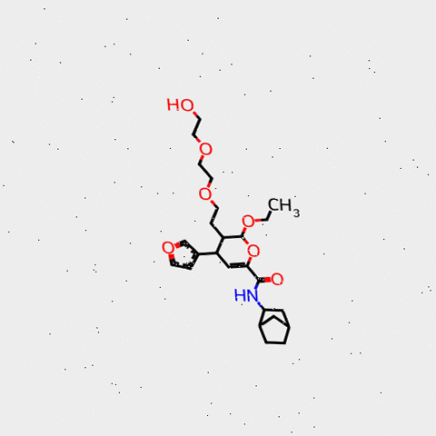 CCOC1OC(C(=O)NC2CC3CCC2C3)=CC(c2ccoc2)C1CCOCCOCCO